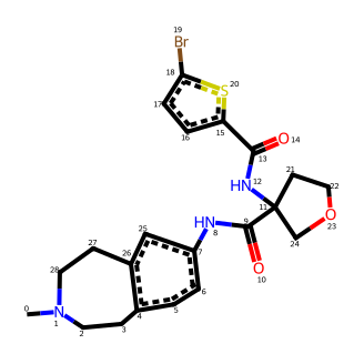 CN1CCc2ccc(NC(=O)C3(NC(=O)c4ccc(Br)s4)CCOC3)cc2CC1